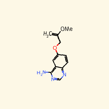 C=C(COc1ccc2ncnc(N)c2c1)OC